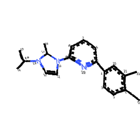 Cc1ccc(-c2cccc(N3C=CN(C(C)C)C3C)n2)cc1C